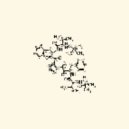 CC(C)C(NOC(C)(C)C)C(=O)NC(Cc1ccccc1)C(=O)C(=O)c1nn[nH]c1C(=O)C(=O)C(Cc1ccccc1)NC(=O)C(NOC(C)(C)C)C(C)C